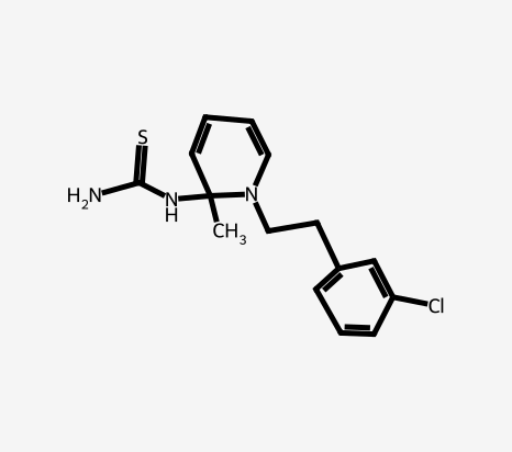 CC1(NC(N)=S)C=CC=CN1CCc1cccc(Cl)c1